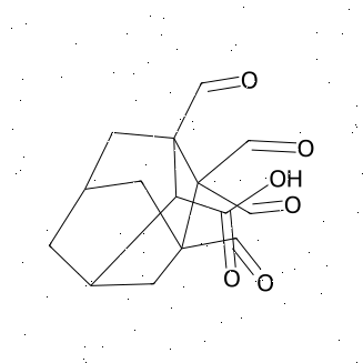 O=CC12CC3CC(C1)C(C(=O)O)C(C=O)(C3)C2(C=O)C=O